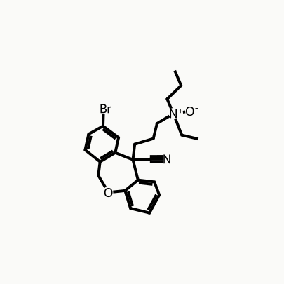 CCC[N+]([O-])(CC)CCCC1(C#N)c2cc(Br)ccc2COc2ccccc21